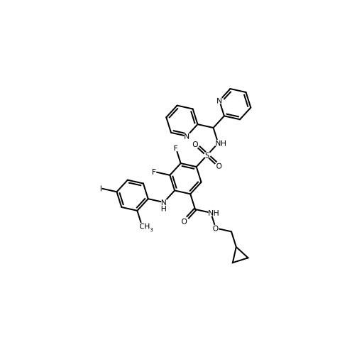 Cc1cc(I)ccc1Nc1c(C(=O)NOCC2CC2)cc(S(=O)(=O)NC(c2ccccn2)c2ccccn2)c(F)c1F